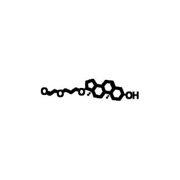 C[C@@]12CC[C@@H](O)CC1=CCC1C2CC[C@]2(C)C1CC[C@H]2OCCCOCC=O